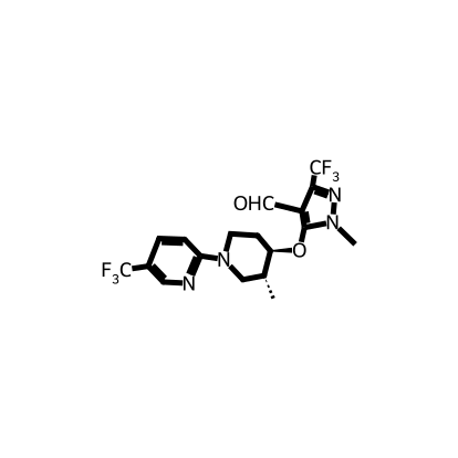 C[C@@H]1CN(c2ccc(C(F)(F)F)cn2)CC[C@H]1Oc1c(C=O)c(C(F)(F)F)nn1C